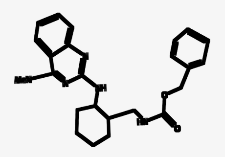 CNc1nc(NC2CCCCC2CNC(=O)OCc2ccccc2)nc2ccccc12